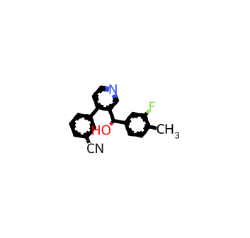 Cc1ccc(C(O)c2cnccc2-c2cccc(C#N)c2)cc1F